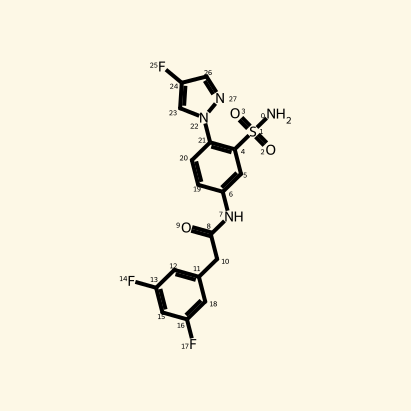 NS(=O)(=O)c1cc(NC(=O)Cc2cc(F)cc(F)c2)ccc1-n1cc(F)cn1